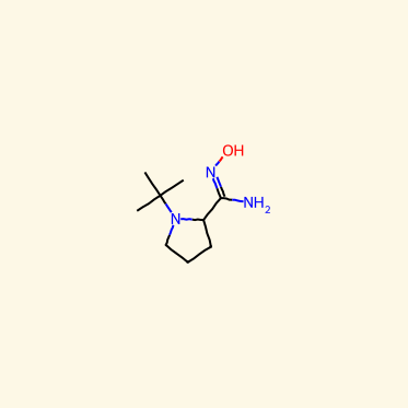 CC(C)(C)N1CCCC1C(N)=NO